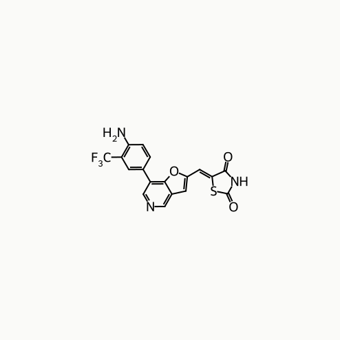 Nc1ccc(-c2cncc3cc(/C=C4\SC(=O)NC4=O)oc23)cc1C(F)(F)F